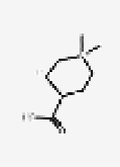 C[N+]1(C)CCC(C(=O)O)CC1.[I+]